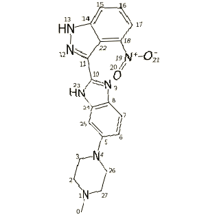 CN1CCN(c2ccc3nc(-c4n[nH]c5cccc([N+](=O)[O-])c45)[nH]c3c2)CC1